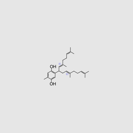 CC(C)=CCC/C(C)=C/CC(/C=C(\C)CCC=C(C)C)c1cc(O)c(C)cc1O